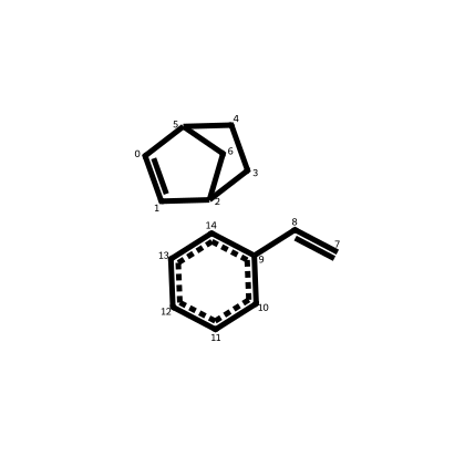 C1=CC2CCC1C2.C=Cc1ccccc1